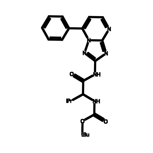 CC(C)C(NC(=O)OC(C)(C)C)C(=O)Nc1nc2nccc(-c3ccccc3)n2n1